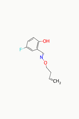 C=CCCON=Cc1cc(F)ccc1O